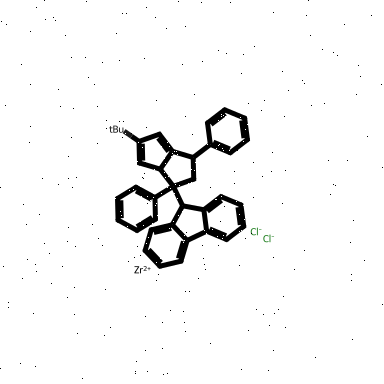 CC(C)(C)C1=CC2C(=C1)C(c1ccccc1)CC2(c1ccccc1)C1c2ccccc2-c2ccccc21.[Cl-].[Cl-].[Zr+2]